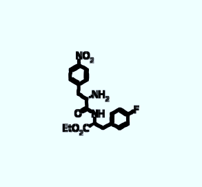 CCOC(=O)[C@H](Cc1ccc(F)cc1)NC(=O)[C@@H](N)Cc1ccc([N+](=O)[O-])cc1